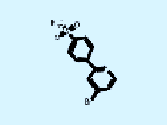 CS(=O)(=O)c1ccc(-c2cc(Br)ccn2)cc1